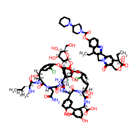 CCc1c2c(nc3ccc(OC(=O)N4CCC(N5CCCCC5)CC4)cc13)-c1cc3c(c(=O)n1C2)COC(=O)[C@]3(O)CC.CN[C@H](CC(C)C)C(=O)N[C@H]1C(=O)N[C@@H](CC(N)=O)C(=O)N[C@H]2C(=O)N[C@H]3C(=O)N[C@H](C(=O)N[C@@H](C(=O)O)c4cc(O)cc(O)c4-c4cc3ccc4O)[C@H](O)c3ccc(c(Cl)c3)Oc3cc2cc(c3O[C@@H]2O[C@H](CO)[C@@H](O)[C@H](O)[C@H]2O[C@H]2C[C@](C)(N)C(O)[C@H](C)O2)Oc2ccc(cc2Cl)[C@H]1O